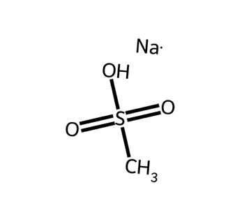 CS(=O)(=O)O.[Na]